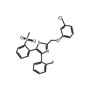 CS(=O)(=O)c1ccccc1-c1sc(COc2cccc(Cl)c2)nc1-c1ccccc1F